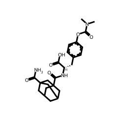 CN(C)C(=O)Oc1ccc(C[C@H](NC(=O)C23CC4CC(CC(C(N)=O)(C4)C2)C3)C(=O)O)cc1